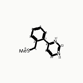 CSCc1ccccc1-c1ccncn1